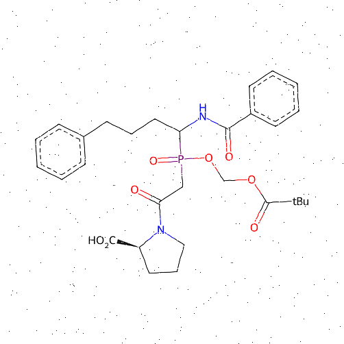 CC(C)(C)C(=O)OCOP(=O)(CC(=O)N1CCC[C@H]1C(=O)O)C(CCCc1ccccc1)NC(=O)c1ccccc1